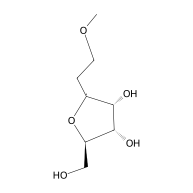 COCC[C]1O[C@H](CO)[C@@H](O)[C@H]1O